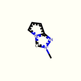 C[n+]1[cH-]n2cccc2n1